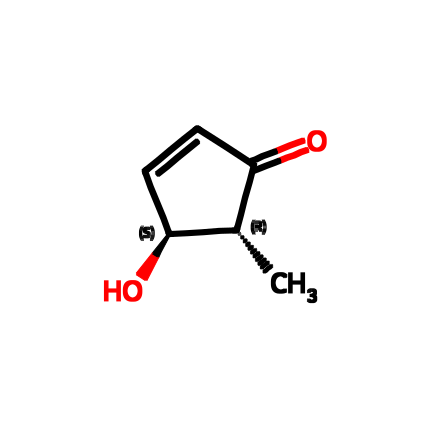 C[C@H]1C(=O)C=C[C@@H]1O